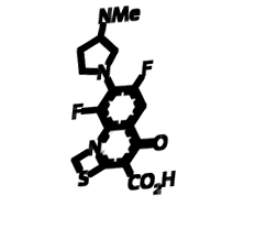 CNC1CCN(c2c(F)cc3c(=O)c(C(=O)O)c4n(c3c2F)CS4)C1